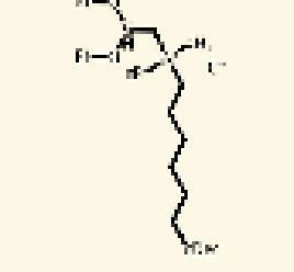 CCCCCCCCCCCCCCCC[N+](C)(CCC)C[SiH](OCC)OCC.[Cl-]